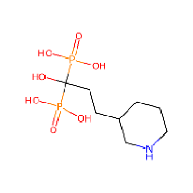 O=P(O)(O)C(O)(CCC1CCCNC1)P(=O)(O)O